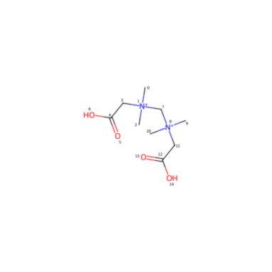 C[N+](C)(CC(=O)O)C[N+](C)(C)CC(=O)O